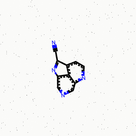 N#CC1=Nc2cncc3nccc1c23